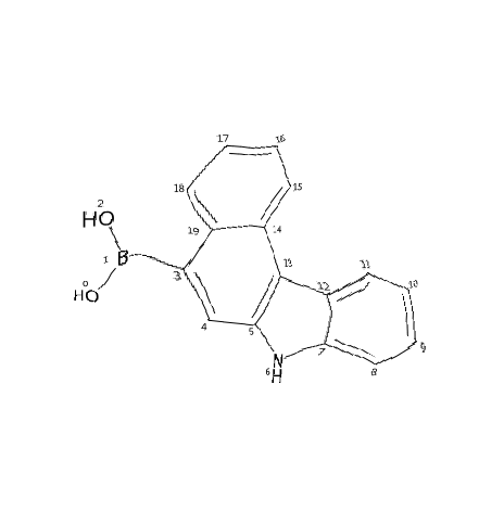 OB(O)c1cc2[nH]c3ccccc3c2c2ccccc12